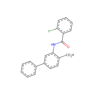 O=C(Nc1cc(-c2ccccc2)ccc1C(=O)O)c1ccccc1F